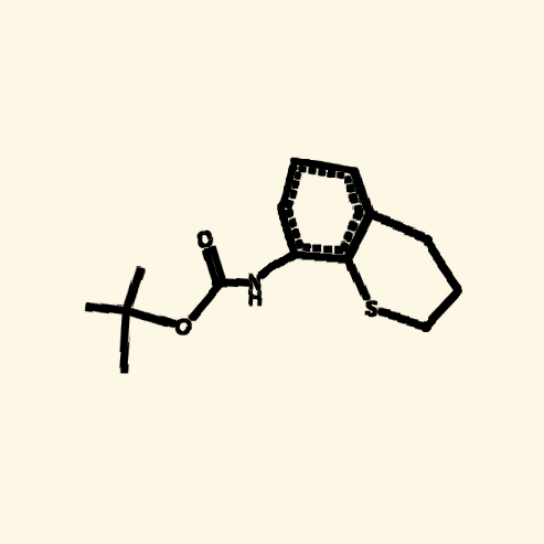 CC(C)(C)OC(=O)Nc1cccc2c1SCCC2